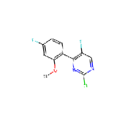 CCOc1cc(F)ccc1-c1nc(Cl)ncc1F